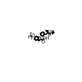 CC(C)(C)OC(=O)C1(Cc2cccc(-n3c(C(=O)O)cc4ccc(OC(F)(F)F)cc43)c2)CC1